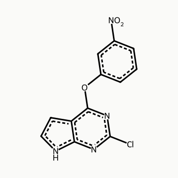 O=[N+]([O-])c1cccc(Oc2nc(Cl)nc3[nH]ccc23)c1